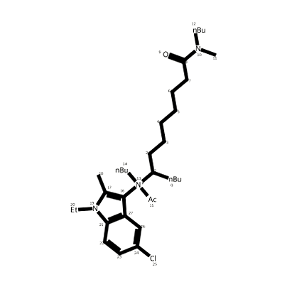 CCCCC(CCCCCCC(=O)N(C)CCCC)[N+](CCCC)(C(C)=O)c1c(C)n(CC)c2ccc(Cl)cc12